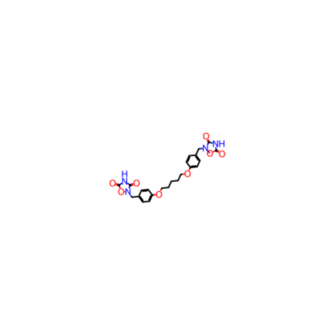 O=c1[nH]c(=O)n(Cc2ccc(OCCCCCOc3ccc(Cn4oc(=O)[nH]c4=O)cc3)cc2)o1